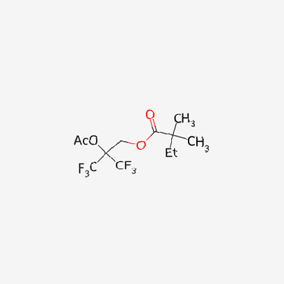 CCC(C)(C)C(=O)OCC(OC(C)=O)(C(F)(F)F)C(F)(F)F